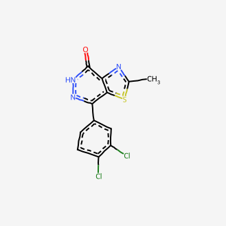 Cc1nc2c(=O)[nH]nc(-c3ccc(Cl)c(Cl)c3)c2s1